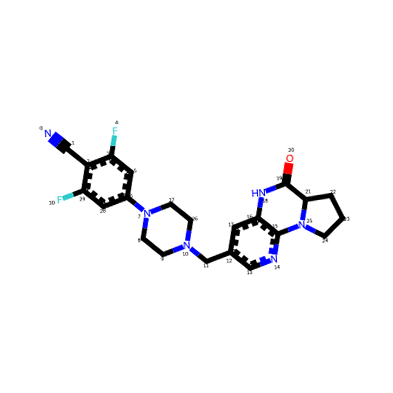 N#Cc1c(F)cc(N2CCN(Cc3cnc4c(c3)NC(=O)C3CCCN43)CC2)cc1F